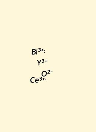 [Bi+3].[Ce+3].[O-2].[Y+3]